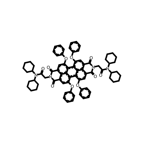 O=C1c2cc(Oc3ccccc3)c3c4c(Oc5ccccc5)cc5c6c(cc(Oc7ccccc7)c(c7c(Oc8ccccc8)cc(c2c37)C(=O)N1CC(=O)N(C1CCCCC1)C1CCCCC1)c64)C(=O)N(CC(=O)N(C1CCCCC1)C1CCCCC1)C5=O